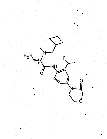 CN(CC1CCC1)[C@H](CN)C(=O)Nc1ccc(N2CCOCC2=O)cc1C(F)F